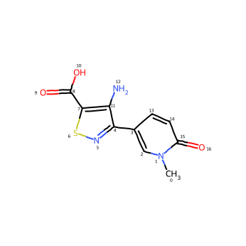 Cn1cc(-c2nsc(C(=O)O)c2N)ccc1=O